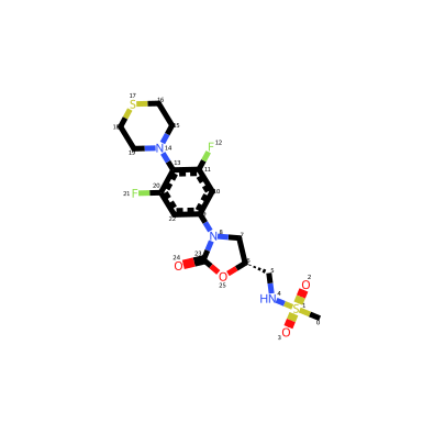 CS(=O)(=O)NC[C@H]1CN(c2cc(F)c(N3CCSCC3)c(F)c2)C(=O)O1